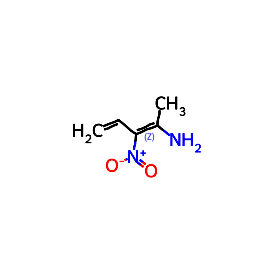 C=C/C(=C(\C)N)[N+](=O)[O-]